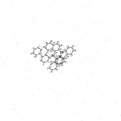 c1ccc(-c2cccc(N(c3cccc4ccccc34)c3c(-n4c5ccccc5c5ccccc54)ccc4ccccc34)c2)cc1